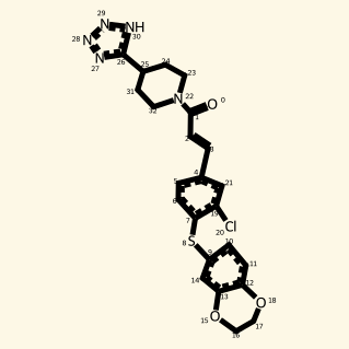 O=C(/C=C/c1ccc(Sc2ccc3c(c2)OCCO3)c(Cl)c1)N1CCC(c2nnn[nH]2)CC1